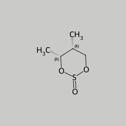 C[C@@H]1COS(=O)O[C@@H]1C